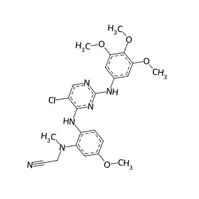 COc1ccc(Nc2nc(Nc3cc(OC)c(OC)c(OC)c3)ncc2Cl)c(N(C)CC#N)c1